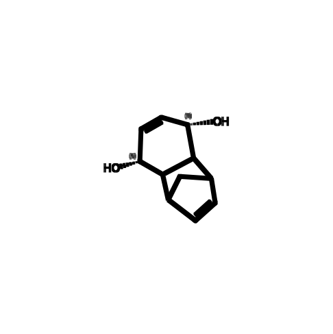 O[C@@H]1C=C[C@H](O)C2C3C=CC(C3)C21